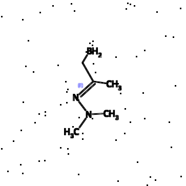 BC/C(C)=N/N(C)C